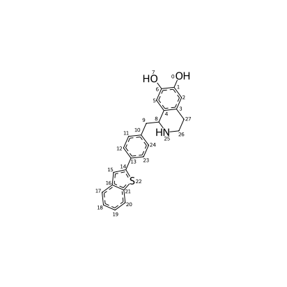 Oc1cc2c(cc1O)C(Cc1ccc(-c3cc4ccccc4s3)cc1)NCC2